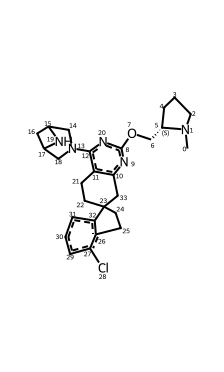 CN1CCC[C@H]1COc1nc2c(c(N3CC4CC(C3)N4)n1)CCC1(CCc3c(Cl)cccc31)C2